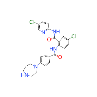 O=C(Nc1ccc(Cl)cc1C(=O)Nc1ccc(Cl)cn1)c1ccc(N2CCCNCC2)cc1